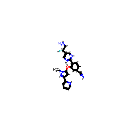 Cn1nc(-c2ccccn2)cc1Oc1cc(C#N)ccc1-c1ncc([C@H](F)CN)cn1